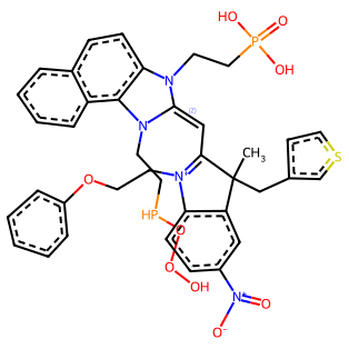 CC1(Cc2ccsc2)C(/C=C2/N(CCP(=O)(O)O)c3ccc4ccccc4c3N2CCPOOO)=[N+](CCOc2ccccc2)c2ccc([N+](=O)[O-])cc21